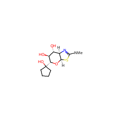 CNC1=N[C@@H]2[C@@H](O)[C@H](O)[C@@H](C3(O)CCCC3)O[C@@H]2S1